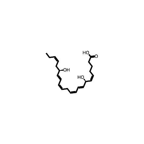 CC/C=C\C[C@@H](O)/C=C/C=C\C/C=C\C=C\[C@@H](O)/C=C\CCCC(=O)O